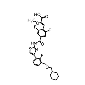 CO/C(=C\c1c(F)cc(C(=O)Nc2nc(-c3cccc(COCC4CCCCC4)c3F)cs2)cc1F)C(=O)O